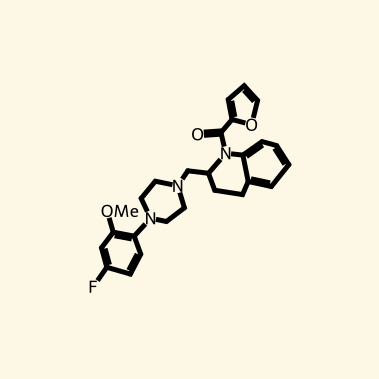 COc1cc(F)ccc1N1CCN(CC2CCc3ccccc3N2C(=O)c2ccco2)CC1